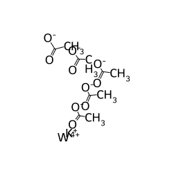 CC(=O)[O-].CC(=O)[O-].CC(=O)[O-].CC(=O)[O-].CC(=O)[O-].[K+].[W+4]